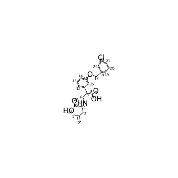 CC(C)CC(NCC(C(=O)O)c1cccc(OCc2cccc(Cl)c2)c1)C(=O)O